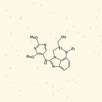 CCN(CC)c1cccc2nc(Nc3cnc(OC)nc3OC)n(CCCO)c12